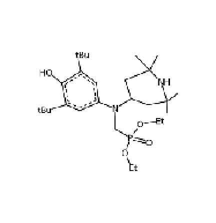 CCOP(=O)(CN(c1cc(C(C)(C)C)c(O)c(C(C)(C)C)c1)C1CC(C)(C)NC(C)(C)C1)OCC